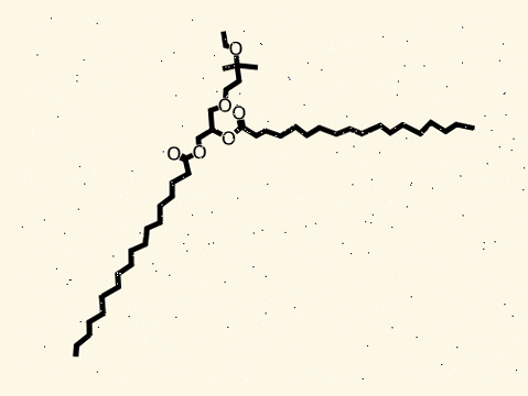 CCCCCCCCCCCCCCCCCC(=O)OCC(COCCC(C)(C)OCC)OC(=O)CCCCCCCCCCCCCCCCC